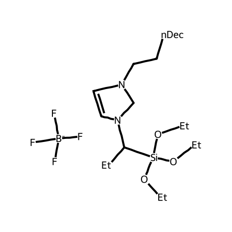 CCCCCCCCCCCCN1C=CN(C(CC)[Si](OCC)(OCC)OCC)C1.F[B-](F)(F)F